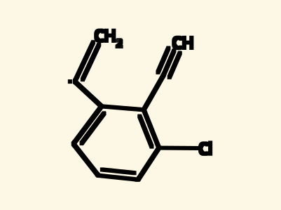 C#Cc1c(Cl)cccc1[C]=C